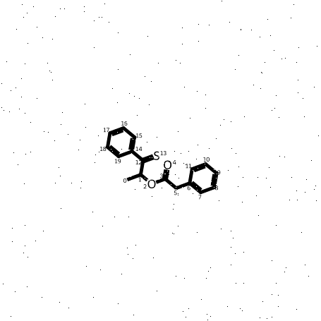 CC(OC(=O)Cc1ccccc1)C(=S)c1ccccc1